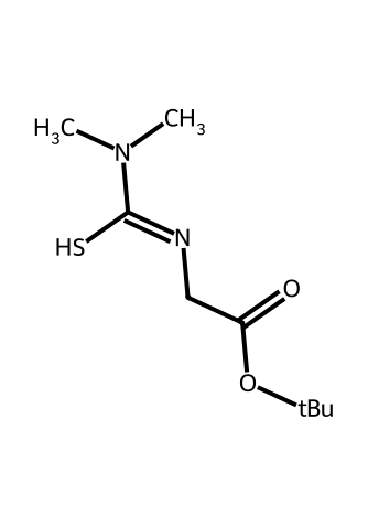 CN(C)C(S)=NCC(=O)OC(C)(C)C